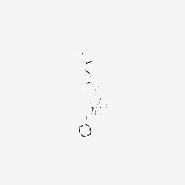 CC(C)OC(=O)/C=C/C(=O)OC[C@H](C)NC(=O)NCc1ccccc1